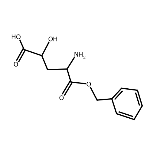 NC(CC(O)C(=O)O)C(=O)OCc1ccccc1